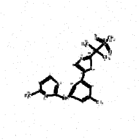 Cc1cc(Nc2nccc(C(F)(F)F)n2)cc(-c2cnc(C(C)(C)S(C)(=O)=O)s2)c1